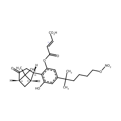 CC(C)(CCCCO[N+](=O)[O-])c1cc(O)c([C@H]2CC(=O)[C@H]3C[C@@H]2C3(C)C)c(OC(=O)/C=C/C(=O)O)c1